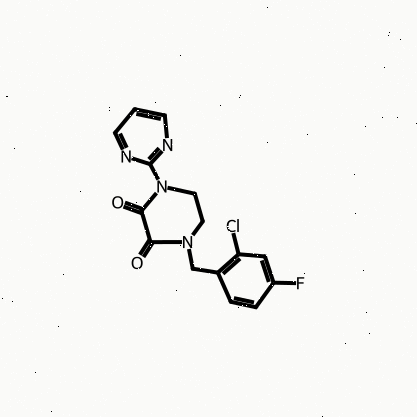 O=C1C(=O)N(c2ncccn2)CCN1Cc1ccc(F)cc1Cl